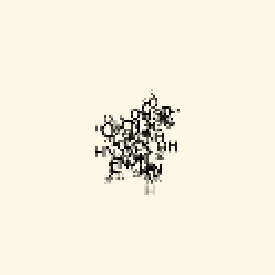 COCCOCCC(=O)N1CCC[C@H]1C(=O)N[C@@H](CC(C)C)C(=O)N[C@@H](Cc1cnc[nH]1)C(=O)N[C@@H](CO)C(=O)N[C@H](C(N)=O)[C@@H](C)OP(=O)(O)OC